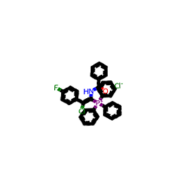 O=C(NC(=C(Cl)c1ccc(F)cc1)[P+](c1ccccc1)(c1ccccc1)c1ccccc1)c1ccccc1.[Cl-]